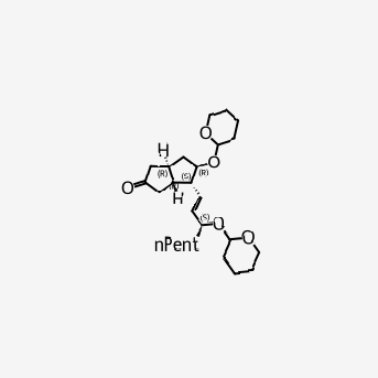 CCCCC[C@@H](C=C[C@@H]1[C@@H]2CC(=O)C[C@H]2C[C@H]1OC1CCCCO1)OC1CCCCO1